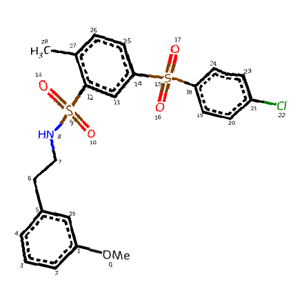 COc1cccc(CCNS(=O)(=O)c2cc(S(=O)(=O)c3ccc(Cl)cc3)ccc2C)c1